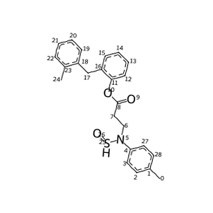 Cc1ccc(N(CCC(=O)Oc2ccccc2Cc2ccccc2C)[SH]=O)cc1